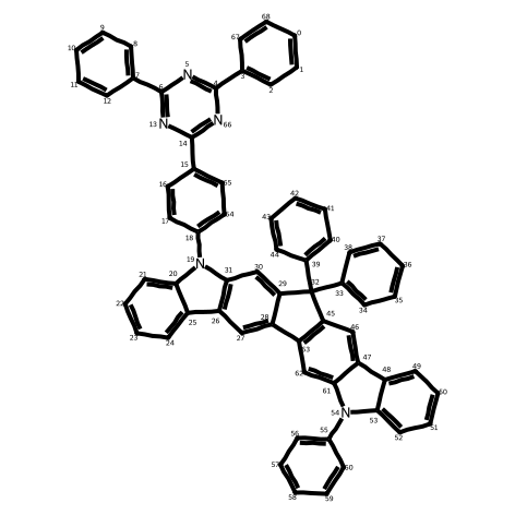 c1ccc(-c2nc(-c3ccccc3)nc(-c3ccc(-n4c5ccccc5c5cc6c(cc54)C(c4ccccc4)(c4ccccc4)c4cc5c7ccccc7n(-c7ccccc7)c5cc4-6)cc3)n2)cc1